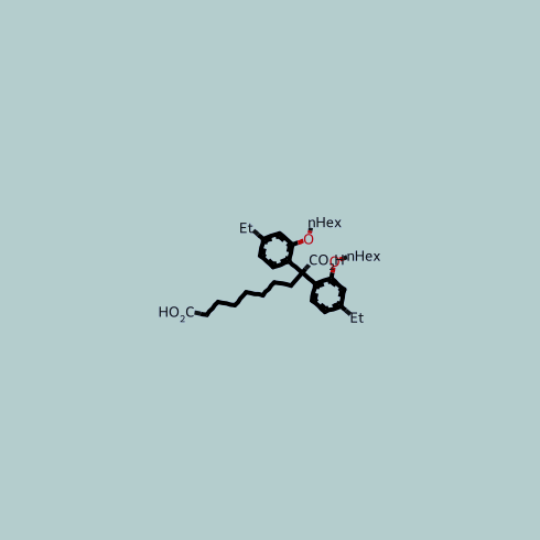 CCCCCCOc1cc(CC)ccc1C(CCCCCCCC(=O)O)(C(=O)O)c1ccc(CC)cc1OCCCCCC